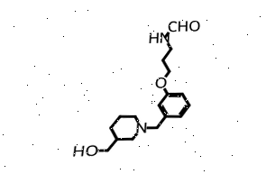 O=CNCCCOc1cccc(CN2CCCC(CO)C2)c1